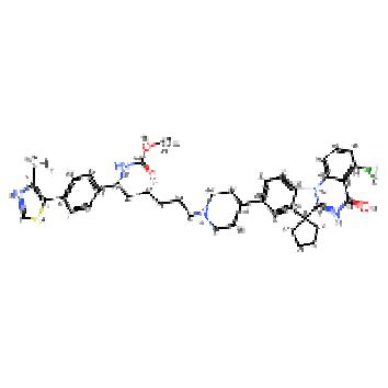 Cc1ncsc1-c1ccc([C@H](CCCCCN2CCC(c3ccc4c(c3)C3(CCCC3)c3nc(=O)c5c(Cl)cccc5n3-4)CC2)NC(=O)OC(C)(C)C)cc1